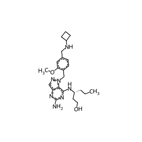 CCC[C@H](CCO)Nc1nc(N)nc2cnn(Cc3ccc(CNC4CCC4)cc3OC)c12